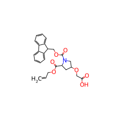 C=CCOC(=O)C1CC(OCC(=O)O)CN1C(=O)OCC1c2ccccc2-c2ccccc21